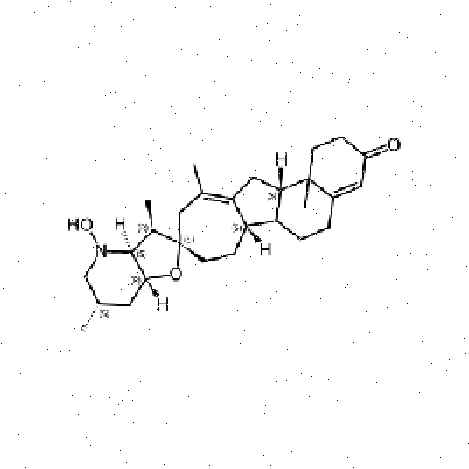 CC1=C2C[C@H]3C(CCC4=CC(=O)CCC43C)[C@@H]2CC[C@@]2(C1)O[C@@H]1C[C@H](C)CN(O)[C@H]1[C@H]2C